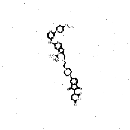 COC1CCN(c2nccc(Nc3cc4c(cn3)nc(COCCN3CCN(c5ccc6c(c5)C(=O)C(C5CCC(=O)NC5=O)C6=O)CC3)n4C(C)C)n2)CC1